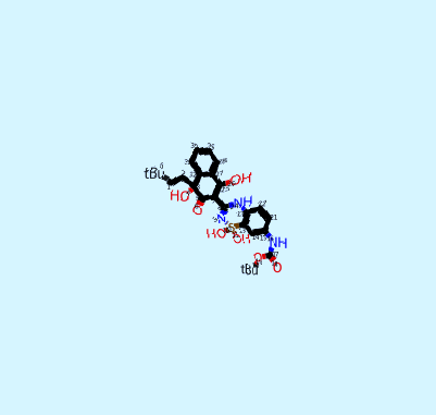 CC(C)(C)CCC1(O)C(=O)C(C2=NS(O)(O)c3cc(NC(=O)OC(C)(C)C)ccc3N2)=C(O)c2ccccc21